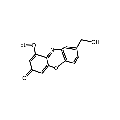 CCOc1cc(=O)cc2oc3ccc(CO)cc3nc1-2